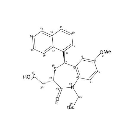 COc1ccc2c(c1)[C@H](c1cccc3ccccc13)S[C@@H](CC(=O)O)C(=O)N2CC(C)(C)C